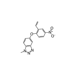 C=Cc1cc([N+](=O)[O-])ccc1Oc1ccc2c(c1)nnn2C